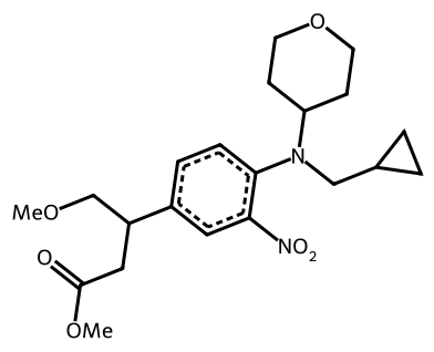 COCC(CC(=O)OC)c1ccc(N(CC2CC2)C2CCOCC2)c([N+](=O)[O-])c1